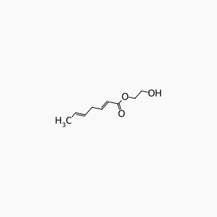 CC=CCC=CC(=O)OCCO